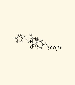 CCOC(=O)/C=C/c1ccc2c(=O)n(CCc3ccccc3)c(C)nc2c1